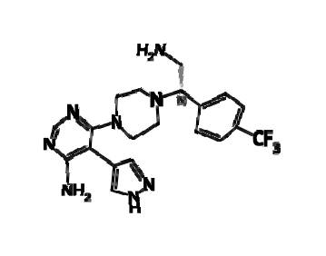 NC[C@H](c1ccc(C(F)(F)F)cc1)N1CCN(c2ncnc(N)c2-c2cn[nH]c2)CC1